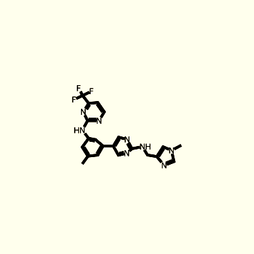 Cc1cc(Nc2nccc(C(F)(F)F)n2)cc(-c2cnc(NCc3cn(C)cn3)nc2)c1